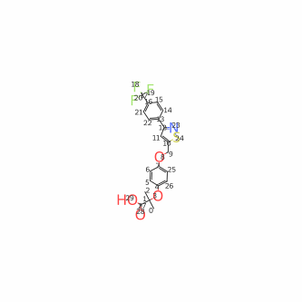 CC(C)(Oc1ccc(OCc2cc(-c3ccc(C(F)(F)F)cc3)ns2)cc1)C(=O)O